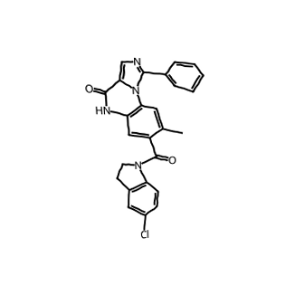 Cc1cc2c(cc1C(=O)N1CCc3cc(Cl)ccc31)[nH]c(=O)c1cnc(-c3ccccc3)n12